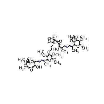 CC[C@H](OC)[C@@H](C)[C@H]1O[C@@H]1[C@H](O)[C@@H](C)/C=C/C=C(\C)[C@H]1O[C@H](OC)[C@H](OC)[C@@H](OCCC[C@H](OC)[C@@H](C)[C@H]2O[C@@H]2[C@H](O)[C@@H](C)/C=C/C=C(\C)[C@H]2O[C@@H](OC)[C@H](OC)[C@@H](OC)[C@@H]2OC)[C@@H]1OC